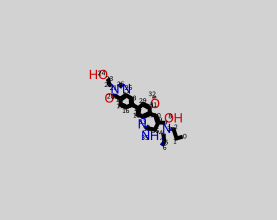 CCCN(CCC)C(O)C1=Cc2c(cc(-c3ccc4c(=O)n(CCO)cnc4c3)cc2OC)N=C(N)C1